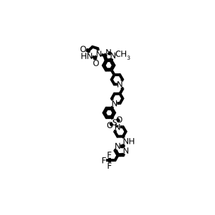 Cn1nc(N2CCC(=O)NC2=O)c2ccc(C3CCN(CC4CCN(c5cccc(S(=O)(=O)N6CCC(Nc7ncc(CC(F)(F)F)cn7)CC6)c5)CC4)CC3)cc21